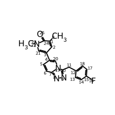 Cc1cc(-c2ccc3nnc(Cc4ccc(F)cc4)n3c2)cn(C)c1=O